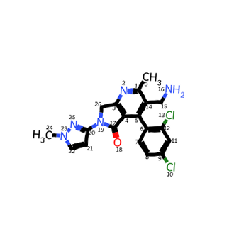 Cc1nc2c(c(-c3ccc(Cl)cc3Cl)c1CN)C(=O)N(c1ccn(C)n1)C2